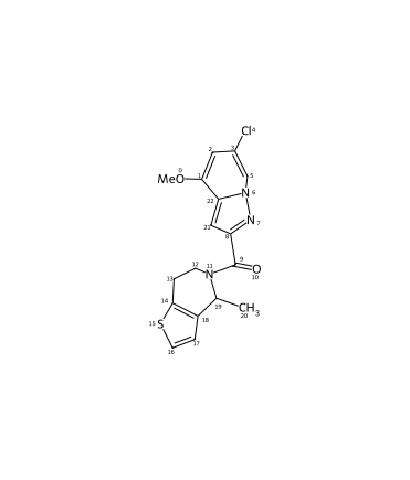 COc1cc(Cl)cn2nc(C(=O)N3CCc4sccc4C3C)cc12